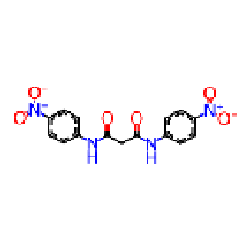 O=C(CC(=O)Nc1ccc([N+](=O)[O-])cc1)Nc1ccc([N+](=O)[O-])cc1